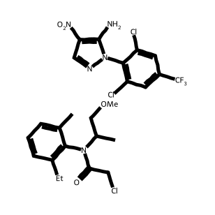 CCc1cccc(C)c1N(C(=O)CCl)C(C)COC.Nc1c([N+](=O)[O-])cnn1-c1c(Cl)cc(C(F)(F)F)cc1Cl